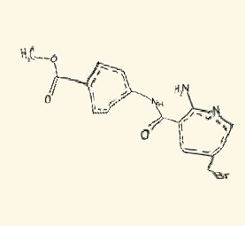 COC(=O)c1ccc(NC(=O)c2cc(Br)cnc2N)cc1